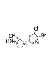 CNN1CC[C@@H](c2cnc(Br)c(Cl)c2)C1